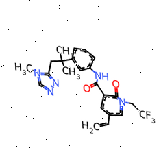 C=Cc1cc(C(=O)Nc2cccc(C(C)(C)Cc3nncn3C)c2)c(=O)n(CC(F)(F)F)c1